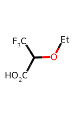 CCOC(C(=O)O)C(F)(F)F